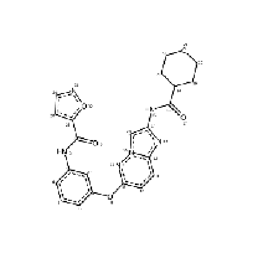 O=C(Nc1cccc(Oc2ccc3nc(NC(=O)C4CCOCC4)cn3n2)c1)c1ccno1